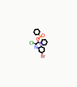 O=P(Oc1nc2ccc(Br)cc2nc1Cl)(c1ccccc1)c1ccccc1